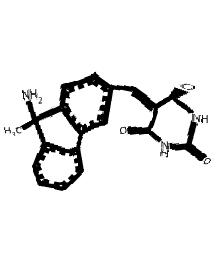 CC1(N)c2ccccc2-c2cc(C=C3C(=O)NC(=O)NC3=O)ccc21